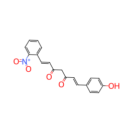 O=C(/C=C/c1ccc(O)cc1)CC(=O)/C=C/c1ccccc1[N+](=O)[O-]